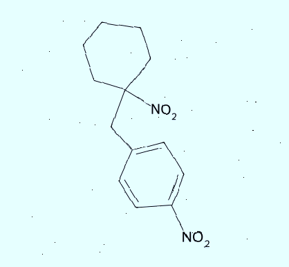 O=[N+]([O-])c1ccc(CC2([N+](=O)[O-])CCCCC2)cc1